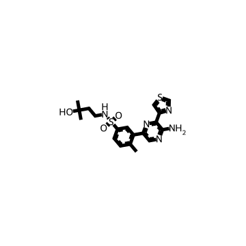 Cc1ccc(S(=O)(=O)NCCC(C)(C)O)cc1-c1cnc(N)c(-c2cscn2)n1